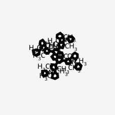 Cc1cc(-c2cc(-c3cc(C)c4c(c3C)C3(C)CCCCC3(C)N4c3ccccc3)c3ccc4c(-c5cc(C)c6c(c5C)C5(C)CCCCC5(C)N6c5ccccc5)cc(-c5cc(C)c6c(c5C)C5(C)CCCCC5(C)N6c5ccccc5)c5ccc2c3c54)c(C)c2c1N(c1ccccc1)C1(C)CCCCC21C